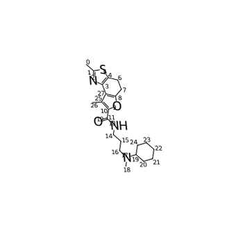 Cc1nc2c(s1)CCc1oc(C(=O)NCCCN(C)C3CCCCC3)c(C)c1-2